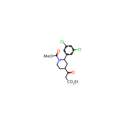 CCOC(=O)CC(=O)C1CCN(C(=O)OC)C(c2cc(Cl)cc(Cl)c2)C1